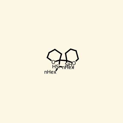 CCCCCC[SiH](CCCCCC)C1(C2([SiH3])CCCCO2)CCCCO1